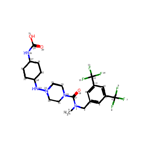 CN(Cc1cc(C(F)(F)F)cc(C(F)(F)F)c1)C(=O)N1CCN(NC2CCC(NC(=O)O)CC2)CC1